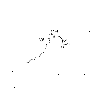 CCCCCCCCCCCCc1ccc(O)c(CN(C)CC(=O)[O-])c1.[Na+]